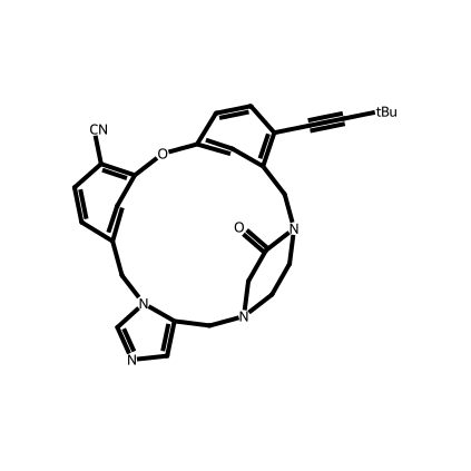 CC(C)(C)C#Cc1ccc2cc1CN1CCN(CC1=O)Cc1cncn1Cc1ccc(C#N)c(c1)O2